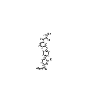 CCNC(=O)Nc1cc(CN2CCN(c3ccc(C(=O)NC)nc3F)CC2)cnn1